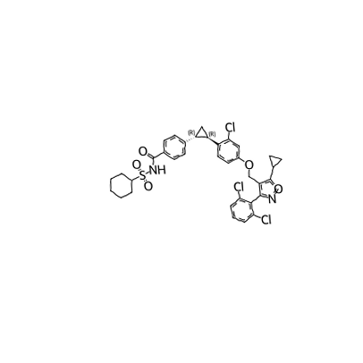 O=C(NS(=O)(=O)C1CCCCC1)c1ccc([C@@H]2C[C@H]2c2ccc(OCc3c(-c4c(Cl)cccc4Cl)noc3C3CC3)cc2Cl)cc1